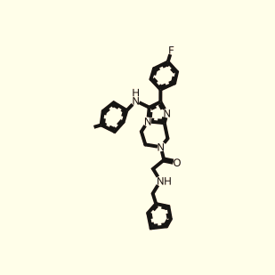 Cc1ccc(Nc2c(-c3ccc(F)cc3)nc3n2CCN(C(=O)CNCc2ccccc2)C3)cc1